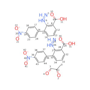 CC(=O)C=O.NNc1c(C(=O)O)cccc1-c1ccc([N+](=O)[O-])cc1.NNc1c(C(=O)O)cccc1-c1ccc([N+](=O)[O-])cc1